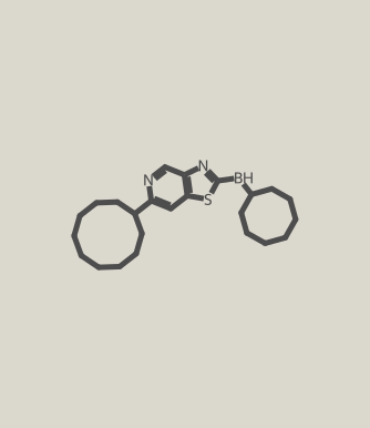 B(c1nc2cnc(C3CCCCCCCCC3)cc2s1)C1CCCCCCC1